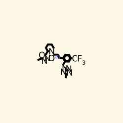 Cc1nnn(Cc2cc(C(F)(F)F)ccc2/C=C/C(=O)N2CCCCC2c2nnc(C)o2)n1